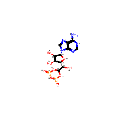 Nc1ncnc2c1ncn2[C@@H]1O[C@H](C(O)C2O[PH](=O)O[PH](=O)O2)[C@@H](O)[C@H]1O